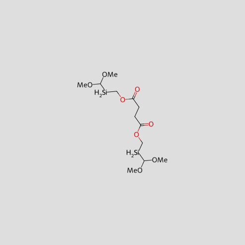 COC(OC)[SiH2]COC(=O)CCC(=O)OC[SiH2]C(OC)OC